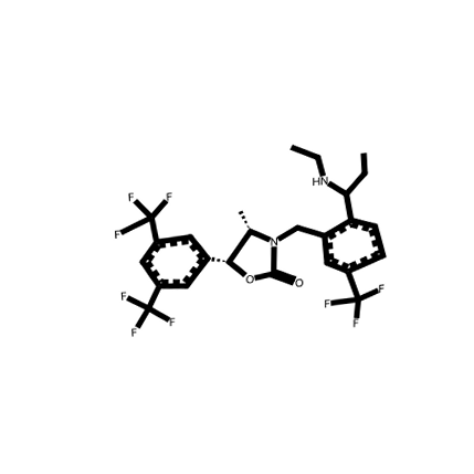 CCNC(CC)c1ccc(C(F)(F)F)cc1CN1C(=O)O[C@H](c2cc(C(F)(F)F)cc(C(F)(F)F)c2)[C@@H]1C